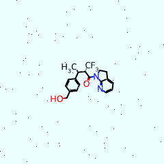 C[C@H](c1ccc(CO)cc1)[C@@H](C(=O)N1CCc2cccnc21)C(F)(F)F